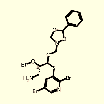 CCO[C@@H](CN)C(OCN1COC(c2ccccc2)O1)Sc1cc(Br)cnc1Br